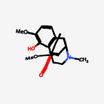 COc1ccc2c(c1O)C13CCN(C)C(C2)C1CCC(=O)C3OC